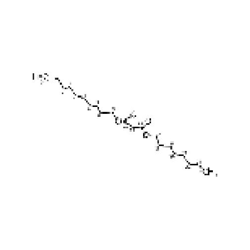 CCCCCCCCCCOC(=O)CC(=O)OCCCCCCCC